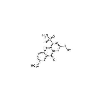 CC(C)Oc1cc(S(N)(=O)=O)c2oc3ccc(C(=O)O)cc3c(=O)c2c1